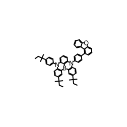 CCC(C)(C)c1ccc(N2c3ccc(C(C)(C)CC)cc3B3c4cc(C(C)(C)CC)ccc4N(c4ccc(-c5cccc6oc7ccccc7c56)cc4)c4cccc2c43)cc1